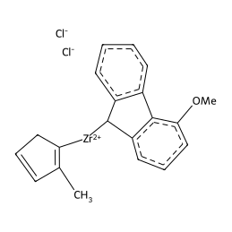 COc1cccc2c1-c1ccccc1[CH]2[Zr+2][C]1=C(C)C=CC1.[Cl-].[Cl-]